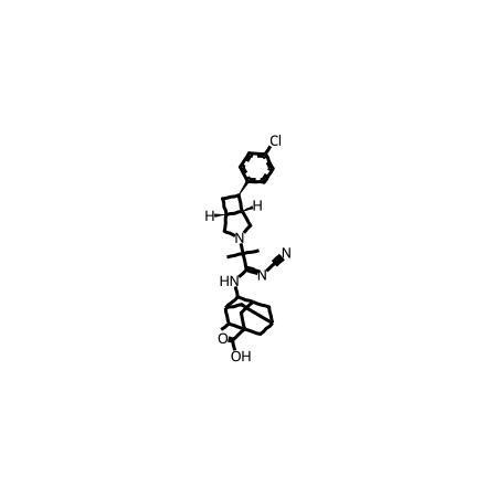 CC1C2CC3CC(CC1(C(=O)O)C3)C2NC(=NC#N)C(C)(C)N1C[C@@H]2C[C@@H](c3ccc(Cl)cc3)[C@@H]2C1